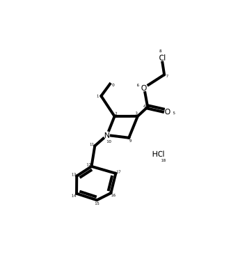 CCC1C(C(=O)OCCl)CN1Cc1ccccc1.Cl